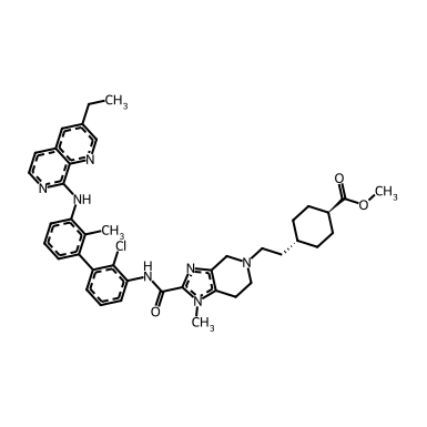 CCc1cnc2c(Nc3cccc(-c4cccc(NC(=O)c5nc6c(n5C)CCN(CC[C@H]5CC[C@H](C(=O)OC)CC5)C6)c4Cl)c3C)nccc2c1